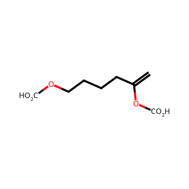 C=C(CCCCOC(=O)O)OC(=O)O